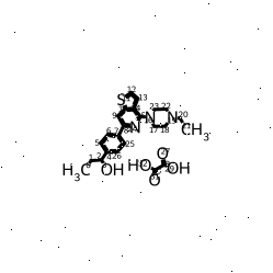 CCC(O)c1ccc(-c2cc3sccc3c(N3CCN(CC)CC3)n2)cc1.O=C(O)C(=O)O